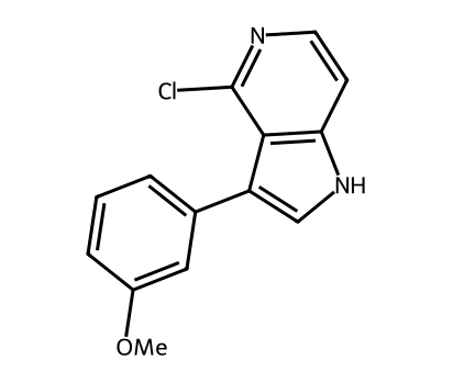 COc1cccc(-c2c[nH]c3ccnc(Cl)c23)c1